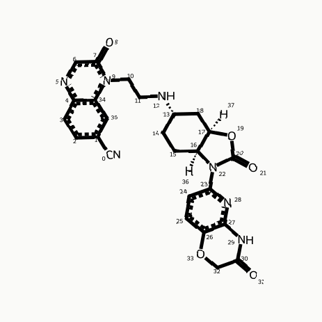 N#Cc1ccc2ncc(=O)n(CCN[C@H]3CC[C@H]4[C@@H](C3)OC(=O)N4c3ccc4c(n3)NC(=O)CO4)c2c1